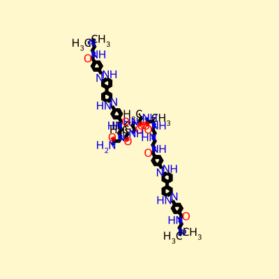 C[C@@H](NC(=O)CNCCNC(=O)c1ccc(-c2nc3cc(-c4ccc5[nH]c(-c6ccc(C(=O)NCCN(C)C)cc6)nc5c4)ccc3[nH]2)cc1)C(=O)N[C@H](C)C(=O)N[C@H](C)C(=O)N[C@H](C)C(=O)N(CCNC(=O)c1ccc(-c2nc3cc(-c4ccc5[nH]c(-c6ccc(C(=O)NCCN(C)C)cc6)nc5c4)ccc3[nH]2)cc1)CC(N)=O